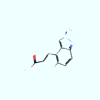 Cn1cc2c(C=CC(=O)O)c(F)ccc2n1